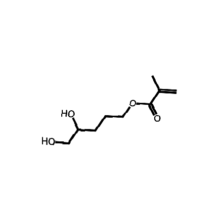 C=C(C)C(=O)OCCCC(O)CO